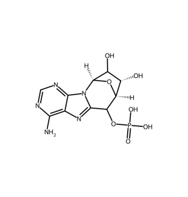 Nc1ncnc2c1nc1n2[C@@H]2O[C@H](C1OP(=O)(O)O)[C@@H](O)C2O